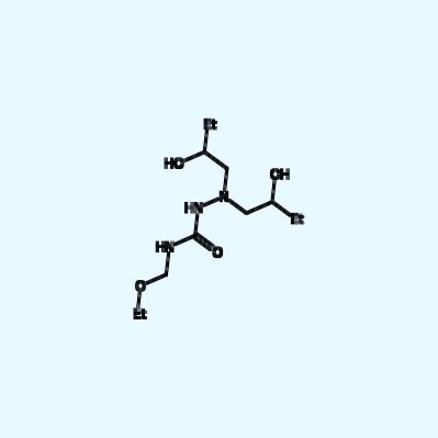 CCOCNC(=O)NN(CC(O)CC)CC(O)CC